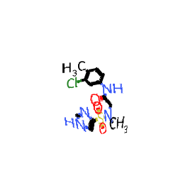 Cc1ccc(NC(=O)CN(C)S(=O)(=O)c2c[nH]cn2)cc1Cl